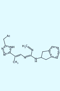 C=N/C(=N\C=C(/C)c1nnc(CC(C)=O)[nH]1)NC1Cc2ccccc2C1